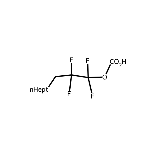 CCCCCCCCC(F)(F)C(F)(F)OC(=O)O